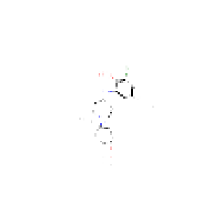 CCOC1CCC(C)(N2CCC(Nc3cc(C)cc(F)c3O)CC2)CC1